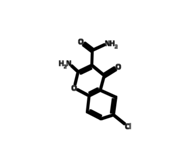 NC(=O)c1c(N)oc2ccc(Cl)cc2c1=O